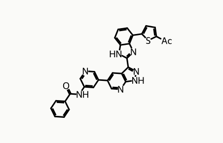 CC(=O)c1ccc(-c2cccc3[nH]c(-c4n[nH]c5ncc(-c6cncc(NC(=O)c7ccccc7)c6)cc45)nc23)s1